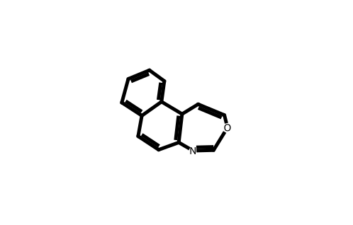 C1=Cc2c(ccc3ccccc23)N=CO1